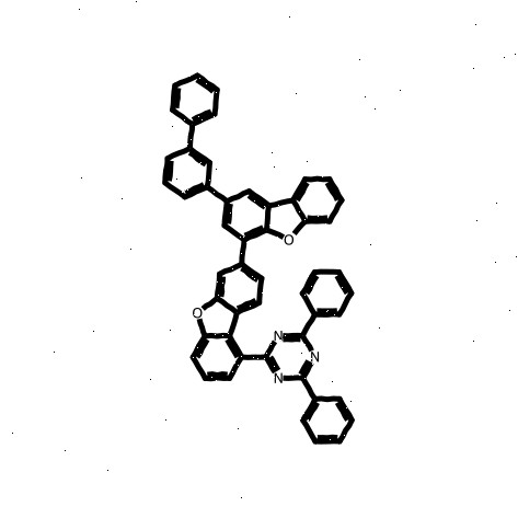 c1ccc(-c2cccc(-c3cc(-c4ccc5c(c4)oc4cccc(-c6nc(-c7ccccc7)nc(-c7ccccc7)n6)c45)c4oc5ccccc5c4c3)c2)cc1